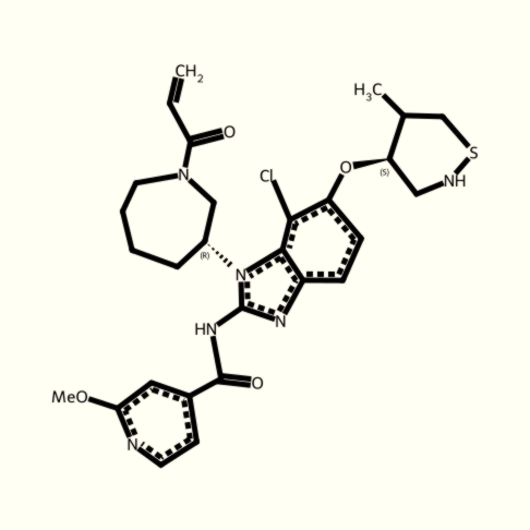 C=CC(=O)N1CCCC[C@@H](n2c(NC(=O)c3ccnc(OC)c3)nc3ccc(O[C@@H]4CNSCC4C)c(Cl)c32)C1